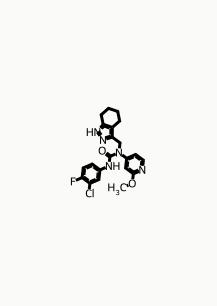 COc1cc(N(Cc2n[nH]c3c2CCCC3)C(=O)Nc2ccc(F)c(Cl)c2)ccn1